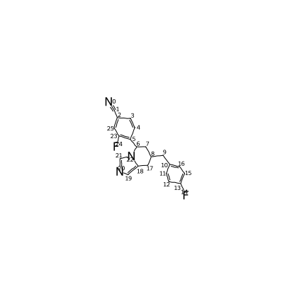 N#Cc1ccc(C2CC(Cc3ccc(F)cc3)Cc3cncn32)c(F)c1